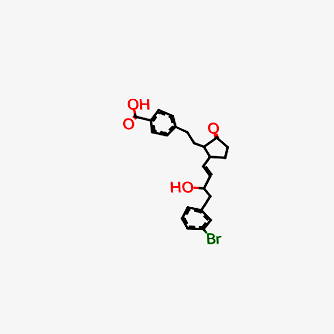 O=C(O)c1ccc(CCC2C(=O)CCC2C=CC(O)Cc2cccc(Br)c2)cc1